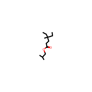 CCC(C)(CC)CCC(=O)OCC(C)C